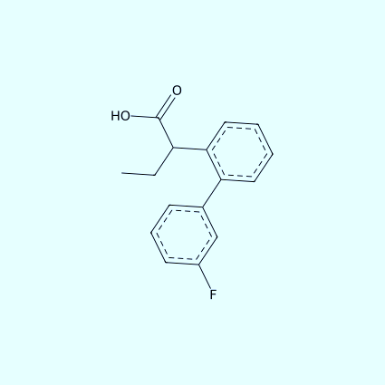 CCC(C(=O)O)c1ccccc1-c1cccc(F)c1